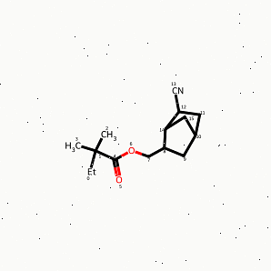 CCC(C)(C)C(=O)OCC1CC2CC(C#N)C1C2